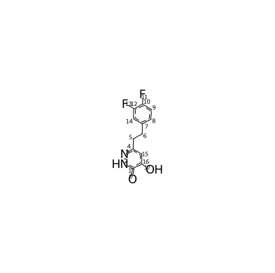 O=c1[nH]nc(CCc2ccc(F)c(F)c2)cc1O